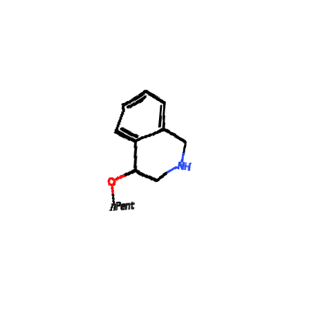 CCCCCOC1CNCc2ccccc21